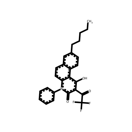 CCCCCc1ccc2c(ccc3c2c(O)c(C(=O)C(F)(F)F)c(=O)n3-c2ccccc2)c1